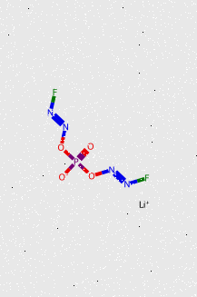 O=P([O-])(ON=NF)ON=NF.[Li+]